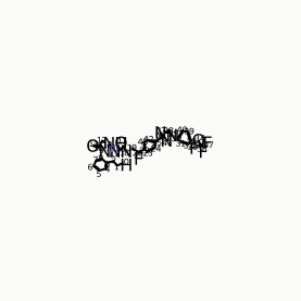 CCCc1ccccc1N1C(=O)CN/C1=N\C(=O)NCC(F)c1ccc(-c2ncn(-c3ccc(OC(F)(F)F)cc3)n2)cc1